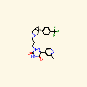 Cc1cc(-c2nn(CCCN3CC4C[C@]4(c4ccc(C(F)(F)F)cc4)C3)c(=O)[nH]c2=O)ccn1